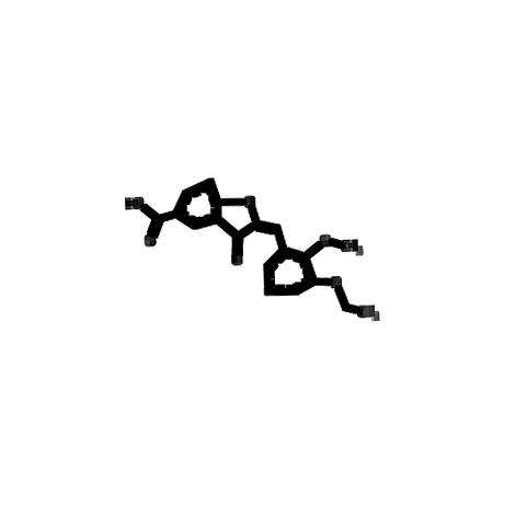 CCOc1cccc(C=C2Oc3ccc(C(=O)O)cc3C2=O)c1OC